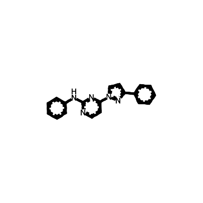 c1ccc(Nc2nccc(-n3ccc(-c4ccccc4)n3)n2)cc1